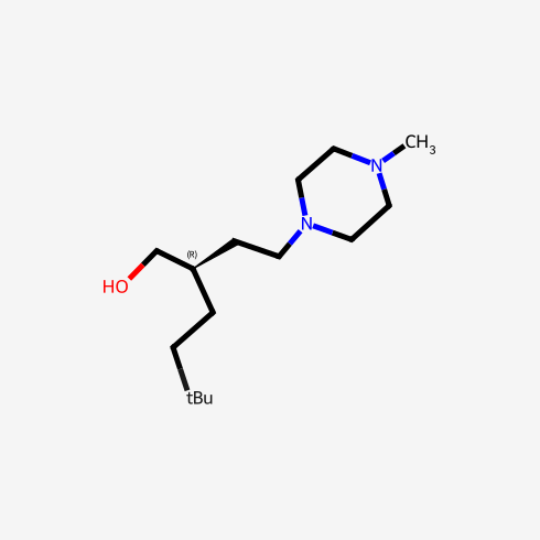 CN1CCN(CC[C@H](CO)CCC(C)(C)C)CC1